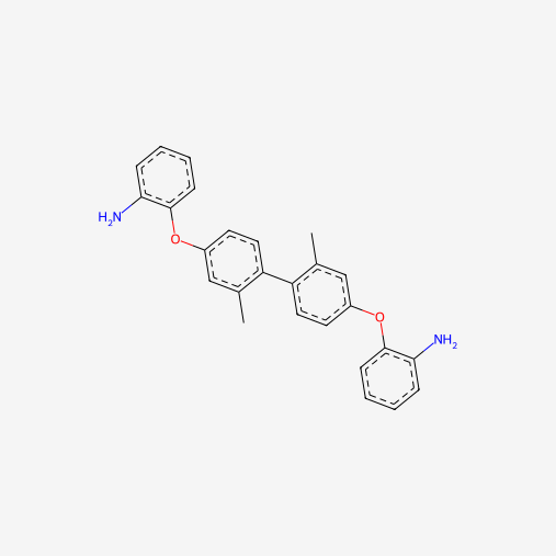 Cc1cc(Oc2ccccc2N)ccc1-c1ccc(Oc2ccccc2N)cc1C